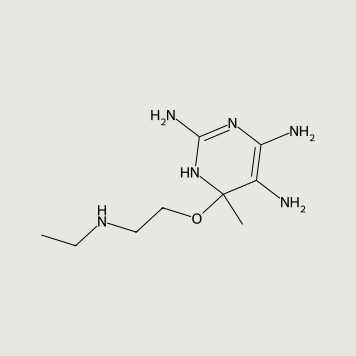 CCNCCOC1(C)NC(N)=NC(N)=C1N